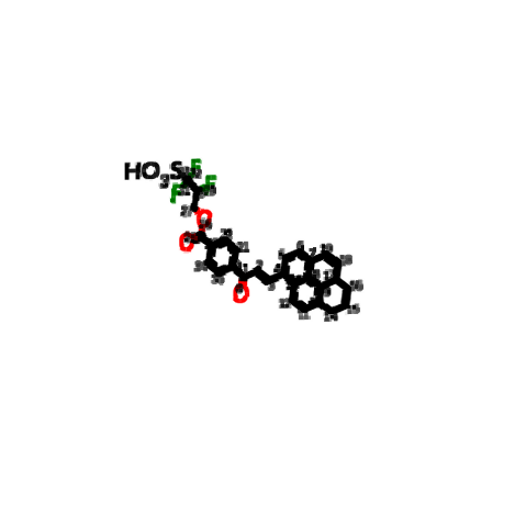 O=C(/C=C/c1ccc2c3c4c(ccc13)CC=CC4C=C2)c1ccc(C(=O)OCC(F)C(F)(F)S(=O)(=O)O)cc1